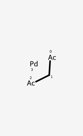 CC(=O)CC(C)=O.[Pd]